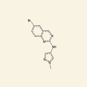 Cn1cc(Nc2ncc3cc(Br)ccc3n2)cn1